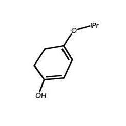 CC(C)OC1=CC=C(O)CC1